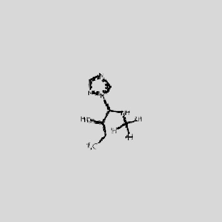 [2H]C([2H])([2H])NC(C(O)CC)n1cncn1